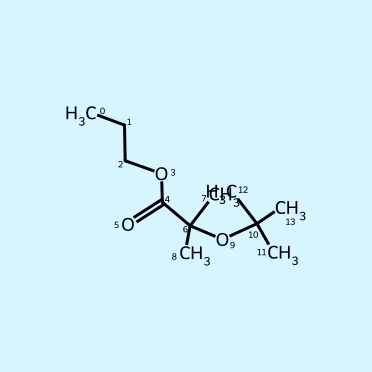 CCCOC(=O)C(C)(C)OC(C)(C)C